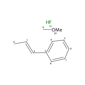 CC=Cc1ccccc1.COC.F